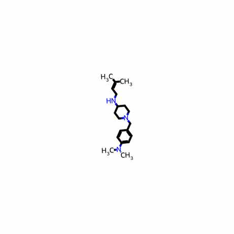 CC(C)=CCNC1CCN(Cc2ccc(N(C)C)cc2)CC1